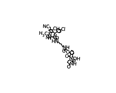 Cc1c(CC#N)sc2c1C(c1ccc(Cl)cc1)=N[C@@H](CC(=O)NCCCCNC(=O)COc1cccc3c1C(=O)N(C1CCC(=O)NC1=O)C3O)c1nnc(C)n1-2